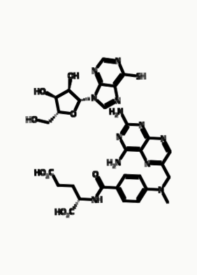 CN(Cc1cnc2nc(N)nc(N)c2n1)c1ccc(C(=O)N[C@@H](CCC(=O)O)C(=O)O)cc1.OC[C@H]1O[C@@H](n2cnc3c(S)ncnc32)[C@H](O)[C@@H]1O